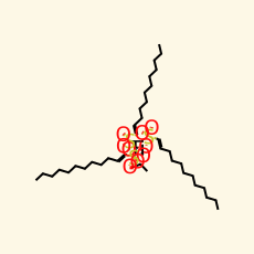 CCCCCCCCCCC=CS(=O)(=O)[O][Ti](=[O])([O]C(C)C)([S](=O)(=O)C=CCCCCCCCCCC)[S](=O)(=O)C=CCCCCCCCCCC